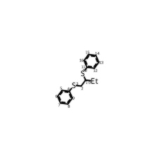 CCC(CSc1ccccc1)Sc1ccccc1